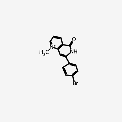 C[n+]1cccc2c(=O)[nH]c(-c3ccc(Br)cc3)cc21